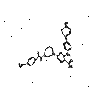 CC(=O)N1CCN(c2ccc(Nc3nc(N4CCC[C@@H](NC(=O)c5ccc(C6CC6)cc5)C4)cnc3C(N)=O)cc2)CC1